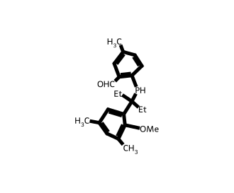 CCC(CC)(Pc1ccc(C)cc1C=O)c1cc(C)cc(C)c1OC